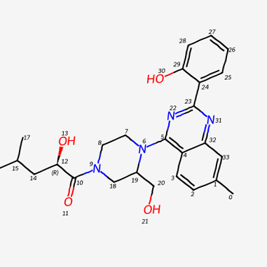 Cc1ccc2c(N3CCN(C(=O)[C@H](O)CC(C)C)CC3CO)nc(-c3ccccc3O)nc2c1